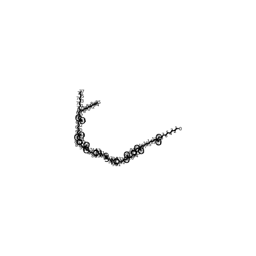 CCCCCCCCCOC(=O)CCCCCCCC(=O)OC1=C=C=C(CC(=O)OCCC2CCN(CCSSCCN3CCC(CCOC(=O)CC4=CC=C(OC(=O)CCCCCC(=O)OCCC(CCCCCCCC)CCCCCCCC)CC4)CC3)CC2)C=C1